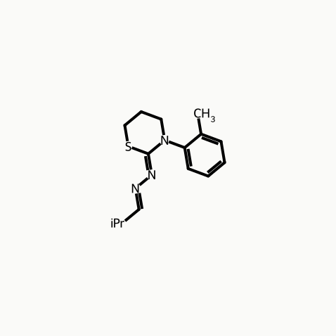 Cc1ccccc1N1CCCS/C1=N\N=C\C(C)C